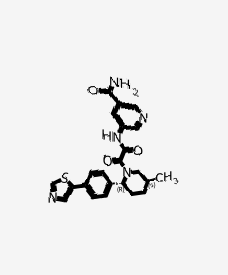 C[C@H]1CC[C@H](c2ccc(-c3cncs3)cc2)N(C(=O)C(=O)Nc2cncc(C(N)=O)c2)C1